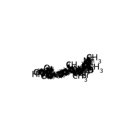 CCc1cc(Nc2ncc(Br)c(Nc3ccc4nc(C)c(F)cc4c3P(C)(C)=O)n2)c(OC)cc1N1CCC2(CCN(CCc3cccc4c3C3(CC3)C(=O)N4C3CCC(=O)NC3=O)CC2)CC1